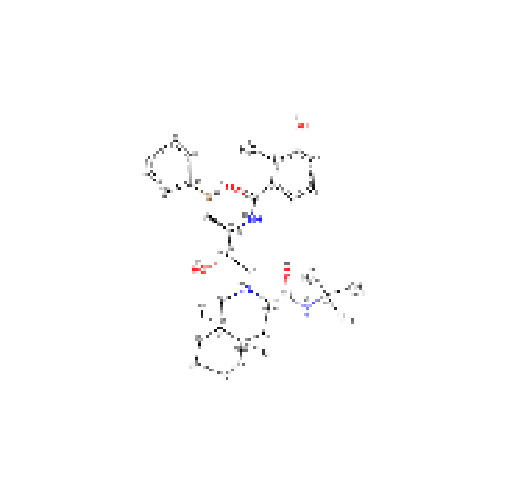 Cc1c(O)cccc1C(=O)N[C@H](CSc1ccccc1)[C@@H](O)CN1C[C@@H]2CCCC[C@@H]2C[C@H]1C(=O)NC(C)(C)C